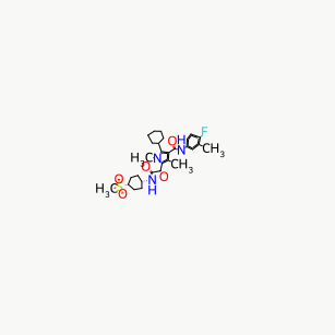 Cc1cc(NC(=O)c2c(C)c(C(=O)C(=O)N[C@H]3CC[C@@H](S(C)(=O)=O)CC3)n(C)c2C2CCCCC2)ccc1F